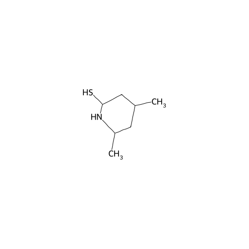 CC1CC(C)NC(S)C1